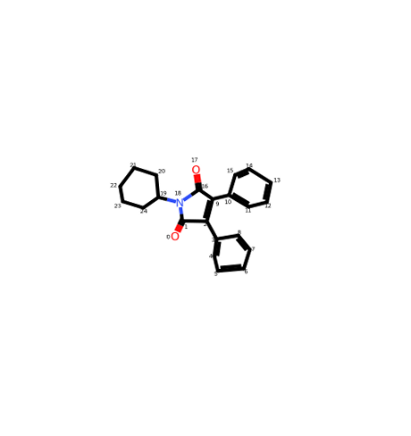 O=C1C(c2ccccc2)=C(c2ccccc2)C(=O)N1C1CCCCC1